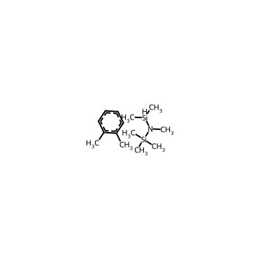 CN([SiH](C)C)[Si](C)(C)C.Cc1ccccc1C